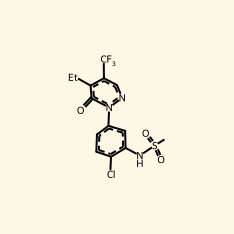 CCc1c(C(F)(F)F)cnn(-c2ccc(Cl)c(NS(C)(=O)=O)c2)c1=O